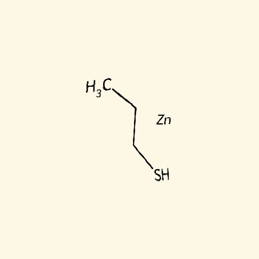 CCCS.[Zn]